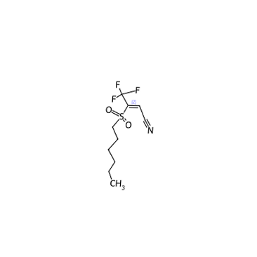 CCCCCCS(=O)(=O)/C(=C\C#N)C(F)(F)F